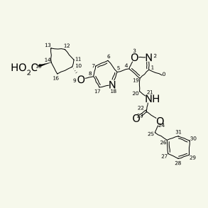 Cc1noc(-c2ccc(O[C@H]3CCC[C@H](C(=O)O)C3)cn2)c1CNC(=O)OCc1ccccc1